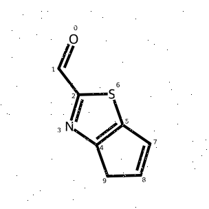 O=Cc1nc2c(s1)C=CC2